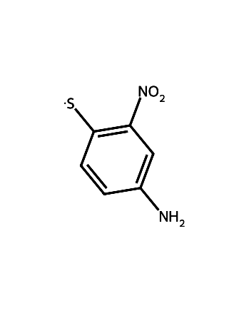 Nc1ccc([S])c([N+](=O)[O-])c1